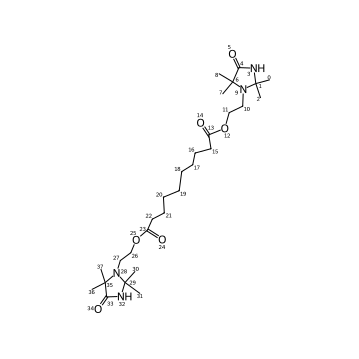 CC1(C)NC(=O)C(C)(C)N1CCOC(=O)CCCCCCCCC(=O)OCCN1C(C)(C)NC(=O)C1(C)C